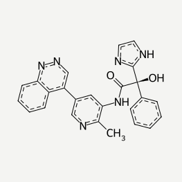 Cc1ncc(-c2cnnc3ccccc23)cc1NC(=O)[C@@](O)(c1ccccc1)c1ncc[nH]1